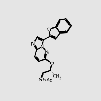 CC(=O)NC[C@@H](C)Oc1ccc2ncc(-c3cc4ccccc4o3)n2n1